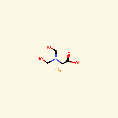 O=C(O)CN(CO)CO.P